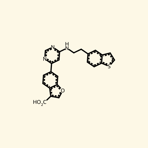 O=C(O)c1coc2cc(-c3cc(NCCc4ccc5sccc5c4)ncn3)ccc12